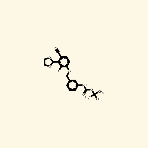 CC(C)(C)OC(=O)Nc1cccc(COc2ccc(C#N)c(C3OCCO3)c2F)c1